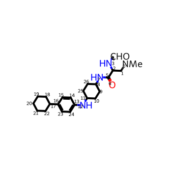 CNCC(NC=O)C(=O)NC1CCC(Nc2ccc(C3CCCCC3)cc2)CC1